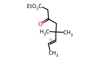 C/C=C/C(C)(C)CC(=O)CC(=O)OCC